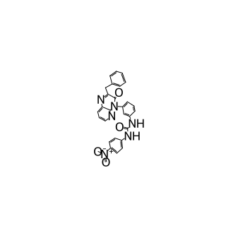 O=C(Nc1ccc([N+](=O)[O-])cc1)Nc1cccc(-n2c(=O)c(Cc3ccccc3)nc3cccnc32)c1